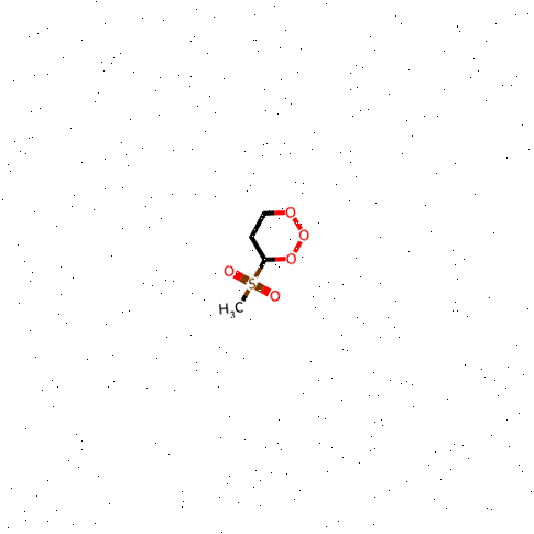 CS(=O)(=O)C1CCOOO1